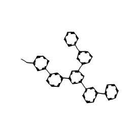 ClCc1cccc(-c2cccc(-c3cc(-c4cccc(-c5ccccc5)c4)cc(-c4cccc(-c5ccccc5)c4)c3)c2)c1